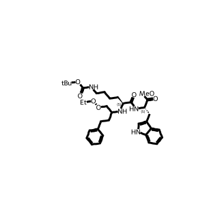 CCOOCC(CCc1ccccc1)N[C@@H](CCCCNC(=O)OC(C)(C)C)C(=O)N[C@@H](Cc1c[nH]c2ccccc12)C(=O)OC